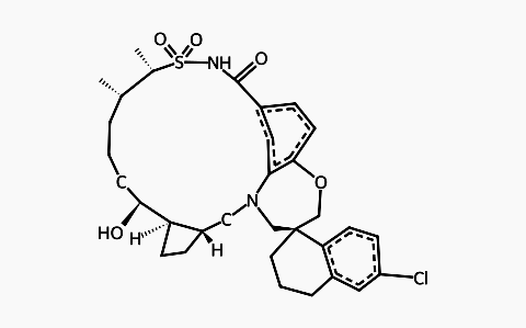 C[C@H]1CCC[C@H](O)[C@@H]2CC[C@H]2CN2C[C@@]3(CCCc4cc(Cl)ccc43)COc3ccc(cc32)C(=O)NS(=O)(=O)[C@H]1C